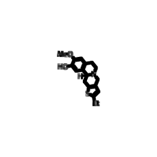 CCc1cc2c(s1)C[C@@H]1c3cc(O)c(OC)cc3CCN1C2